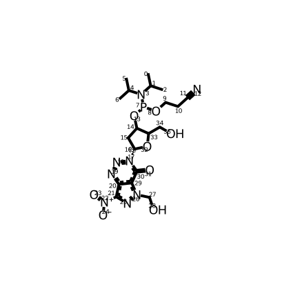 CC(C)N(C(C)C)P(OCCC#N)OC1C[C@@H](n2nnc3c([N+](=O)[O-])nn(CO)c3c2=O)OC1CO